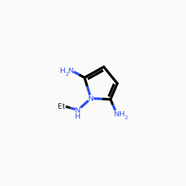 CCNn1c(N)ccc1N